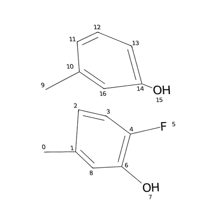 Cc1ccc(F)c(O)c1.Cc1cccc(O)c1